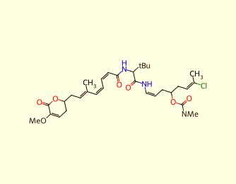 CNC(=O)OC(C/C=C\NC(=O)C(NC(=O)\C=C/C=C\C(C)=C\CC1CC=C(OC)C(=O)O1)C(C)(C)C)C/C=C(\C)Cl